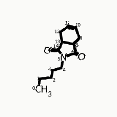 CCCCCN1C(=O)C2CC=CCC2C1=O